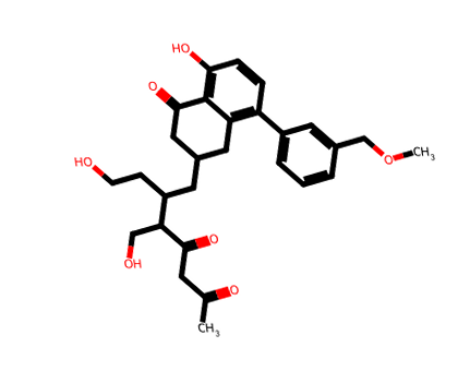 COCc1cccc(-c2ccc(O)c3c2CC(CC(CCO)C(CO)C(=O)CC(C)=O)CC3=O)c1